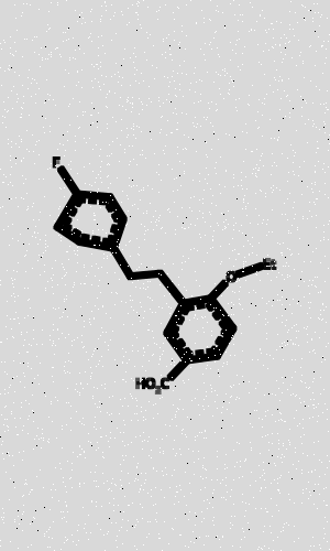 CCOc1ccc(C(=O)O)cc1CCc1ccc(F)cc1